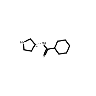 O=C(N[C@@H]1CCNC1)C1CCCCC1